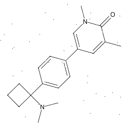 Cc1cc(-c2ccc(C3(N(C)C)CCC3)cc2)cn(C)c1=O